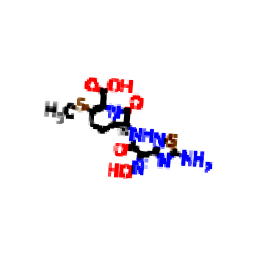 CSC1=C(C(=O)O)N2C(=O)[C@@H](NC(=O)/C(=N\O)c3nsc(N)n3)C2CC1